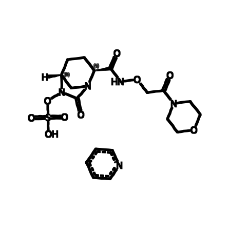 O=C(NOCC(=O)N1CCOCC1)[C@@H]1CC[C@@H]2CN1C(=O)N2OS(=O)(=O)O.c1ccncc1